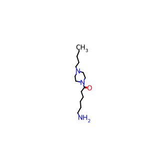 CCCCCN1CCN(C(=O)CCCCCN)CC1